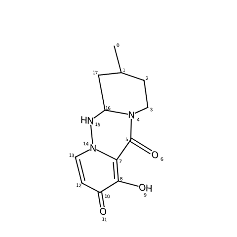 CC1CCN2C(=O)c3c(O)c(=O)ccn3NC2C1